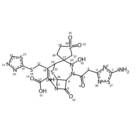 Nc1nc(CC(=O)N2C3C(=O)N4C(C(=O)O)=C(CSc5nncs5)C(S[C@@H]34)C3(CCS(=O)(=O)C3)N2O)ns1